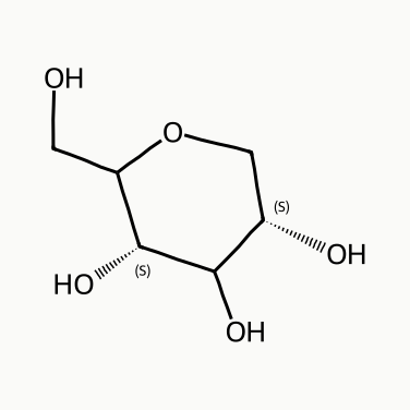 OCC1OC[C@H](O)C(O)[C@@H]1O